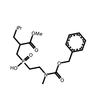 COC(=O)C(CC(C)C)CP(=O)(O)CCN(C)C(=O)OCc1ccccc1